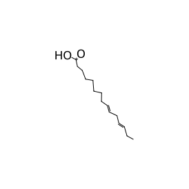 CCC=CCC=CCCCCCCCC(=O)O